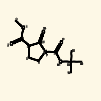 COC(=O)C1CCN(C(=O)OC(C)(C)C)C1=O